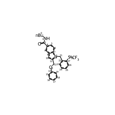 CCCCNC(=O)c1ccc2c(c1)cc(COc1ccccc1)n2Cc1ccccc1SC(F)(F)F